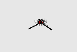 CCCCCCCCCCCCCCCC(=O)C(N)(C(=O)CCCCCCCCCCCCCCC)C(O)P(=O)(O)O